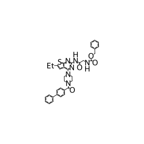 CCc1cc2c(N3CCN(C(=O)c4ccc(-c5ccccc5)cc4)CC3)nc(NC(=O)CNC(=O)OCc3ccccc3)nc2s1